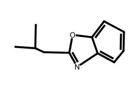 C[C](C)Cc1nc2ccccc2o1